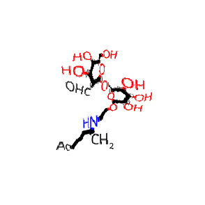 C=C(CCCCC(C)=O)NCCO[C@H]1O[C@H](CO[C@H]2O[C@H](CO)[C@@H](O)[C@H](O)[C@@H]2C=O)[C@@H](O)[C@H](O)[C@@H]1O